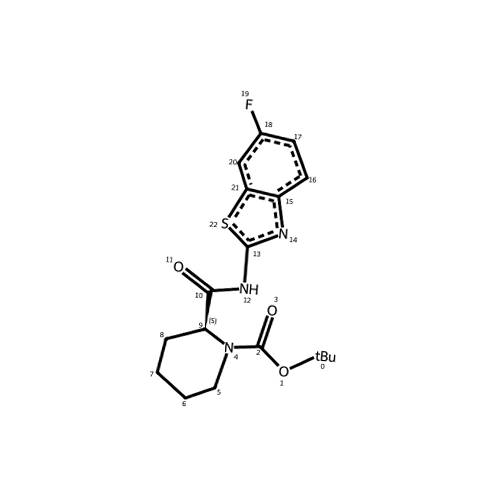 CC(C)(C)OC(=O)N1CCCC[C@H]1C(=O)Nc1nc2ccc(F)cc2s1